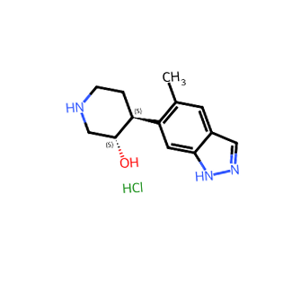 Cc1cc2cn[nH]c2cc1[C@@H]1CCNC[C@H]1O.Cl